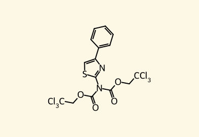 O=C(OCC(Cl)(Cl)Cl)N(C(=O)OCC(Cl)(Cl)Cl)c1nc(-c2ccccc2)cs1